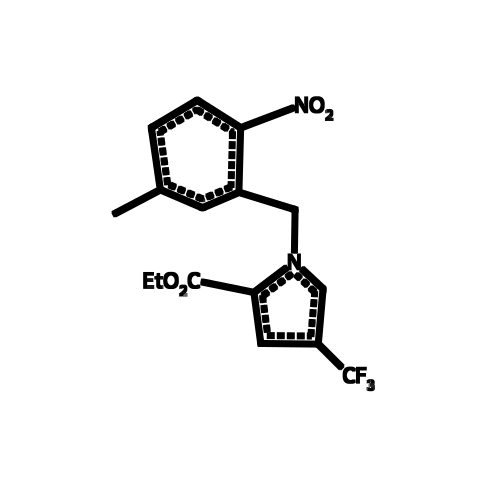 CCOC(=O)c1cc(C(F)(F)F)cn1Cc1cc(C)ccc1[N+](=O)[O-]